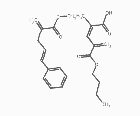 C=C(C=C(C)C(=O)O)C(=O)OCCCC.C=C(CC=Cc1ccccc1)C(=O)OC